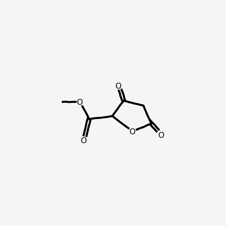 COC(=O)C1OC(=O)CC1=O